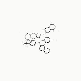 Cc1cc2c3c(c1)N(c1cc4c(cc1C)C(C)(C)CCC4(C)C)c1oc4cc5c(cc4c1B3N(c1ccc(C(C)(C)C)cc1)c1ccc3ccccc3c1-2)C(C)(C)CCC5(C)C